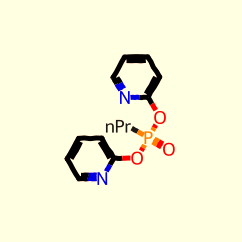 CCCP(=O)(Oc1ccccn1)Oc1ccccn1